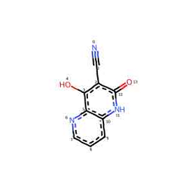 N#Cc1c(O)c2ncccc2[nH]c1=O